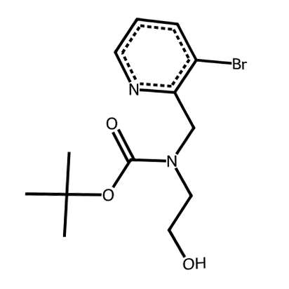 CC(C)(C)OC(=O)N(CCO)Cc1ncccc1Br